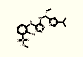 CC[C@@H](Nc1nsnc1Nc1cccc(S(=O)(=O)NC)c1O)c1cc(C(C)C)co1